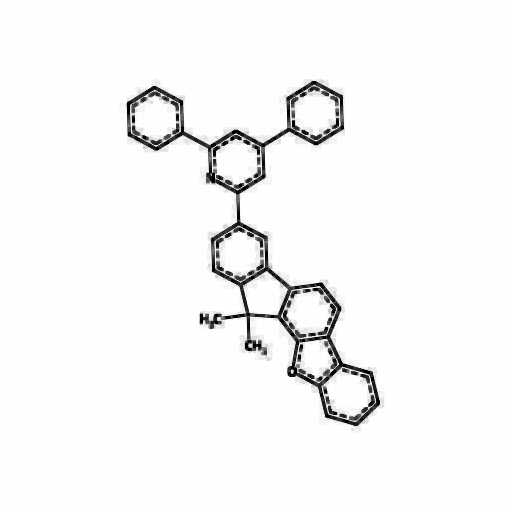 CC1(C)c2ccc(-c3cc(-c4ccccc4)cc(-c4ccccc4)n3)cc2-c2ccc3c(oc4ccccc43)c21